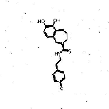 Oc1ccc2c(c1O)CCCN(C(=S)NCCc1ccc(Cl)cc1)C2